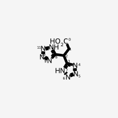 O=C(O)CC(c1nnn[nH]1)c1nnn[nH]1